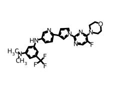 CN(C)c1cc(Nc2ccc(-c3ccn(-c4ncc(F)c(N5CCOCC5)n4)c3)nc2)cc(C(F)(F)F)c1